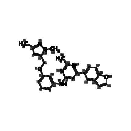 Cc1cc(COc2cccc(Nc3cc(-c4ccc5occc5c4)nc(C)n3)c2)n(C)n1